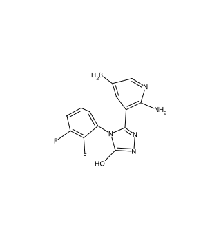 Bc1cnc(N)c(-c2nnc(O)n2-c2cccc(F)c2F)c1